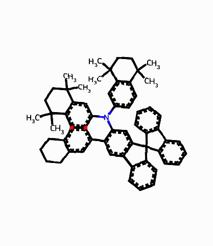 CC1(C)CCC(C)(C)c2cc(N(c3ccc4c(c3)C(C)(C)CCC4(C)C)c3cc4c(cc3-c3ccc5c(c3)CCCC5)-c3ccccc3C43c4ccccc4-c4ccccc43)ccc21